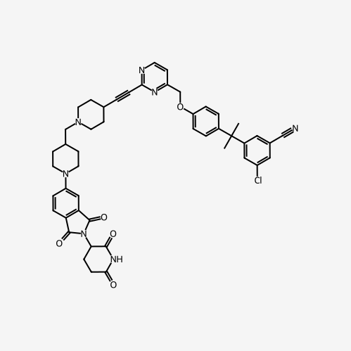 CC(C)(c1ccc(OCc2ccnc(C#CC3CCN(CC4CCN(c5ccc6c(c5)C(=O)N(C5CCC(=O)NC5=O)C6=O)CC4)CC3)n2)cc1)c1cc(Cl)cc(C#N)c1